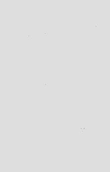 COc1ccccc1CCNC(=O)c1cc(-c2ccncc2)n[nH]c1=O